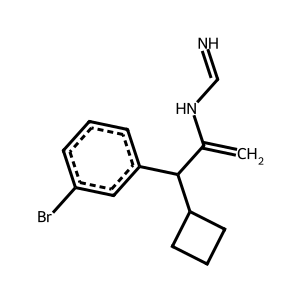 C=C(NC=N)C(c1cccc(Br)c1)C1CCC1